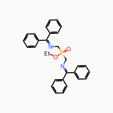 CCOP(=O)(CN=C(c1ccccc1)c1ccccc1)CN=C(c1ccccc1)c1ccccc1